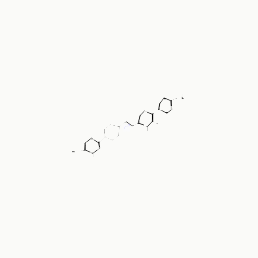 CCOc1ccc(-c2ccc(/C=C/C3CCC(c4ccc(OCC)c(F)c4)CC3)c(F)c2F)cc1